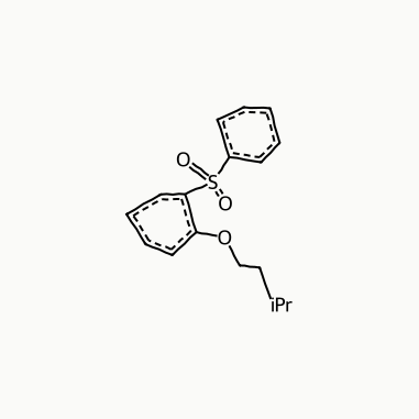 CC(C)CCOc1ccccc1S(=O)(=O)c1ccccc1